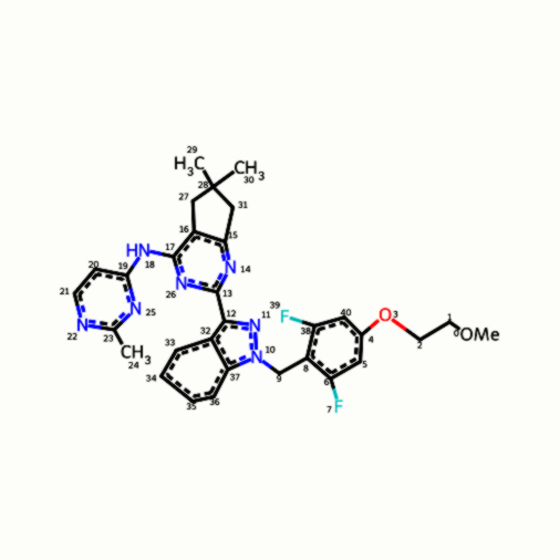 COCCOc1cc(F)c(Cn2nc(-c3nc4c(c(Nc5ccnc(C)n5)n3)CC(C)(C)C4)c3ccccc32)c(F)c1